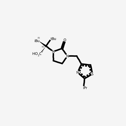 CC[C@H](C)[C@](C(=O)O)(N1CCN(Cc2csc(C(C)C)n2)C1=O)C(C)(C)C